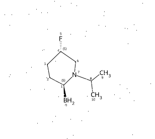 B[C@H]1CC[C@H](F)CN1C(C)C